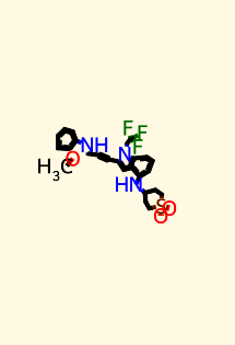 COc1ccccc1NCC#Cc1cc2c(NC3CCS(=O)(=O)CC3)cccc2n1CC(F)(F)F